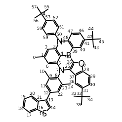 Cc1cc2c3c(c1)N(c1c(C)cc(-c4csc5ccccc45)cc1C)c1c(oc4ccc(C(C)(C)C)cc14)B3c1cc(C(C)(C)C)ccc1N2c1ccc(C(C)(C)C)cc1